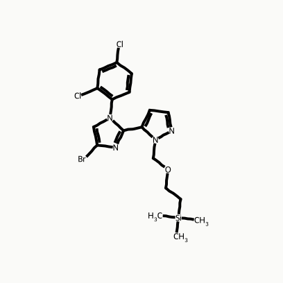 C[Si](C)(C)CCOCn1nccc1-c1nc(Br)cn1-c1ccc(Cl)cc1Cl